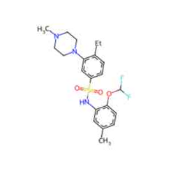 CCc1ccc(S(=O)(=O)Nc2cc(C)ccc2OC(F)F)cc1N1CCN(C)CC1